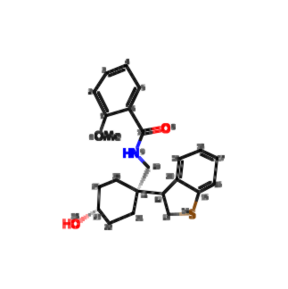 COc1ccccc1C(=O)NC[C@]1(C2CSc3ccccc32)CC[C@H](O)CC1